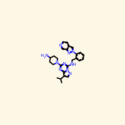 CC(C)c1cnn2c(NCc3ccccc3-n3cc4ccncc4n3)nc(N3CCC(N)CC3)nc12